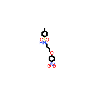 Cc1ccc(S(=O)(=O)NCCCCOc2ccc([N+](=O)[O-])cc2)cc1